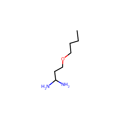 CCCCOCCC(N)N